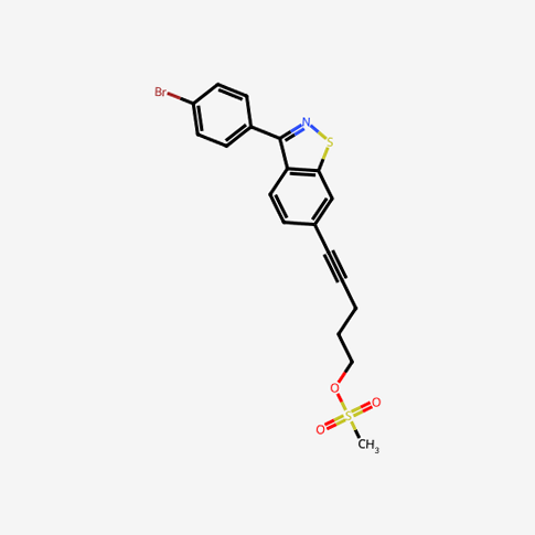 CS(=O)(=O)OCCCC#Cc1ccc2c(-c3ccc(Br)cc3)nsc2c1